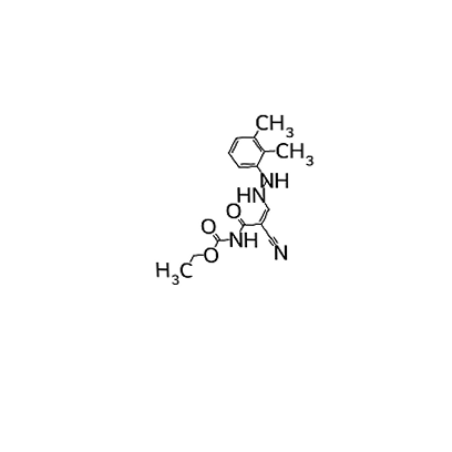 CCOC(=O)NC(=O)C(C#N)=CNNc1cccc(C)c1C